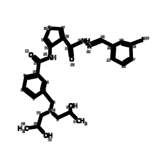 CC(O)CN(Cc1cccc(C(=O)Nc2cscc2C(=O)NN=Cc2cccc(F)c2)c1)CC(C)O